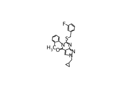 Cc1ccccc1-n1c(SCc2cccc(F)c2)nc2nn(CC3CC3)cc2c1=O